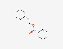 O=C(OCCC1CCCCC1)C1CCCCC1